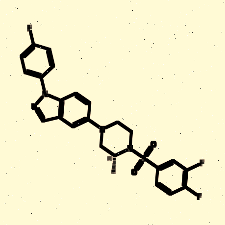 C[C@@H]1CN(c2ccc3c(cnn3-c3ccc(F)cc3)c2)CCN1S(=O)(=O)c1ccc(F)c(F)c1